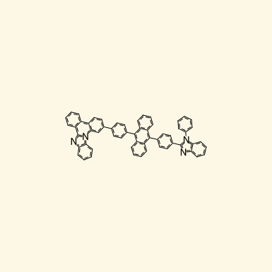 c1ccc(-n2c(-c3ccc(-c4c5ccccc5c(-c5ccc(-c6ccc7c8ccccc8c8nc9ccccc9n8c7c6)cc5)c5ccccc45)cc3)nc3ccccc32)cc1